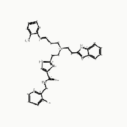 Nc1ccccc1/N=C/CCN(CCc1nc(C(=O)NCc2ncccc2F)c[nH]1)CCc1nc2ccccc2[nH]1